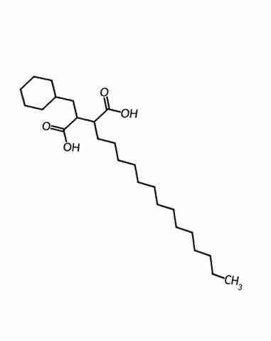 CCCCCCCCCCCCCCC(C(=O)O)C(CC1CCCCC1)C(=O)O